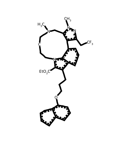 CCOC(=O)c1c(CCCOc2cccc3ccccc23)c2cccc3c2n1CCCCN(C)Cc1c-3c(CC(F)(F)F)nn1C